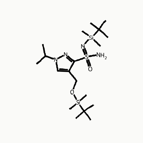 CC(C)n1cc(CO[Si](C)(C)C(C)(C)C)c(S(N)(=O)=N[Si](C)(C)C(C)(C)C)n1